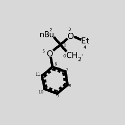 [CH2]C(CCCC)(OCC)Oc1ccccc1